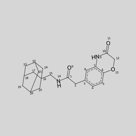 O=C(Cc1ccc2c(c1)NC(=O)CO2)NCC12CC3CC(CC(C3)C1)C2